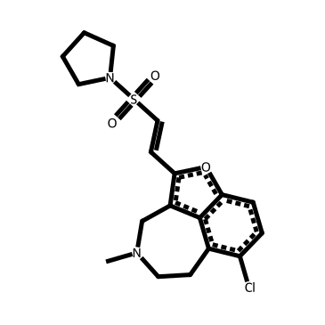 CN1CCc2c(Cl)ccc3oc(/C=C/S(=O)(=O)N4CCCC4)c(c23)C1